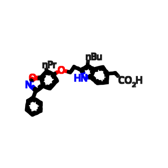 CCCCc1c(CCOc2ccc3c(-c4ccccc4)noc3c2CCC)[nH]c2ccc(CC(=O)O)cc12